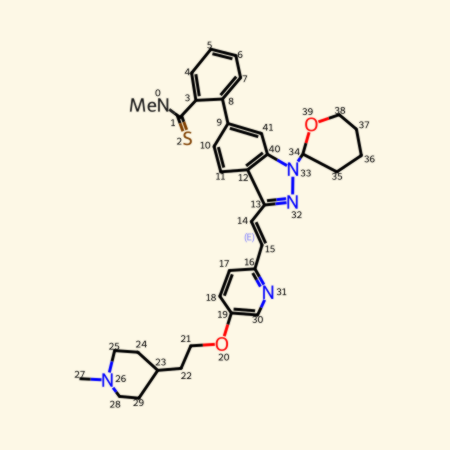 CNC(=S)c1ccccc1-c1ccc2c(/C=C/c3ccc(OCCC4CCN(C)CC4)cn3)nn(C3CCCCO3)c2c1